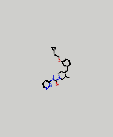 CC1CN(C(=O)Nc2cccnn2)CCC1=Cc1cccc(OCCC2CC2)c1